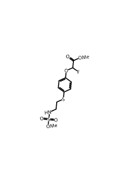 COC(=O)C(F)Oc1ccc(SCCNS(=O)(=O)OC)cc1